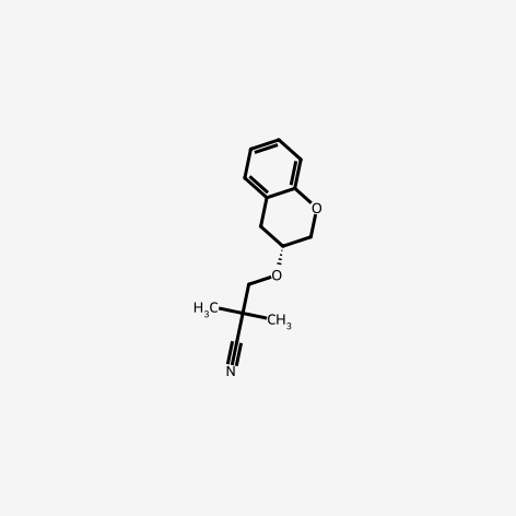 CC(C)(C#N)CO[C@H]1COc2ccccc2C1